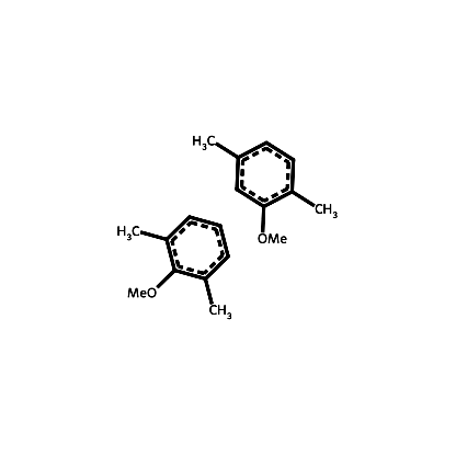 COc1c(C)cccc1C.COc1cc(C)ccc1C